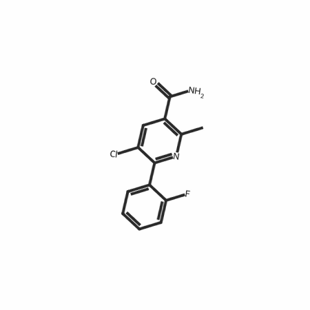 Cc1nc(-c2ccccc2F)c(Cl)cc1C(N)=O